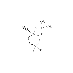 C[Si](C)(C)OC1(C#N)CCC(F)(F)CC1